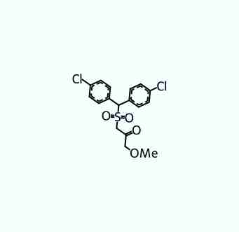 COCC(=O)CS(=O)(=O)C(c1ccc(Cl)cc1)c1ccc(Cl)cc1